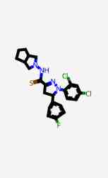 Fc1ccc(C2CC(C(=S)NN3CC4CCCC4C3)=NN2c2ccc(Cl)cc2Cl)cc1